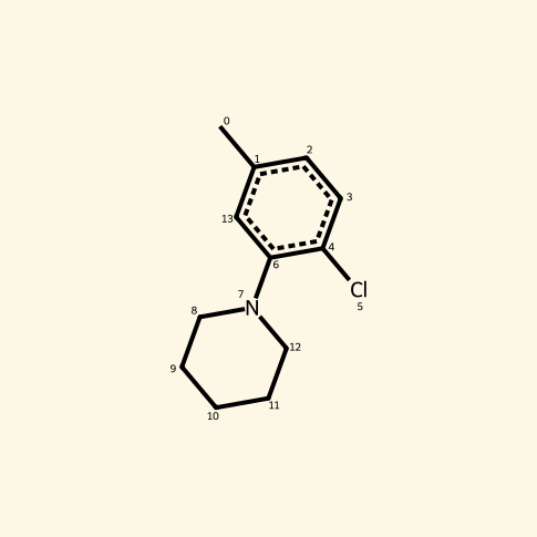 Cc1ccc(Cl)c(N2CCCCC2)c1